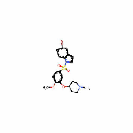 COc1ccc(S(=O)(=O)n2ccc3cc(Br)ccc32)cc1OC1CCN(C)CC1